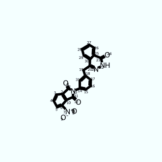 O=C1c2cccc([N+](=O)[O-])c2C(=O)N1c1cccc(Cc2n[nH]c(=O)c3ccccc23)c1